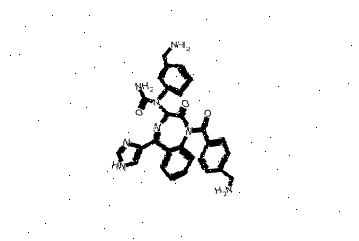 NCc1ccc(C(=O)N2C(=O)C(N(C(N)=O)c3cccc(CN)c3)N=C(c3c[nH]cn3)c3ccccc32)cc1